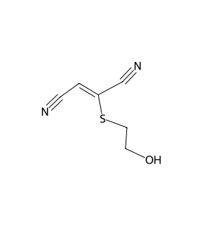 N#CC=C(C#N)SCCO